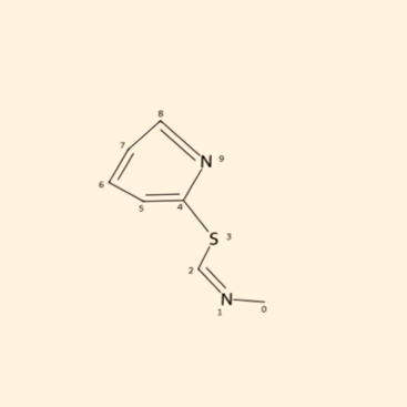 C/N=C\Sc1ccccn1